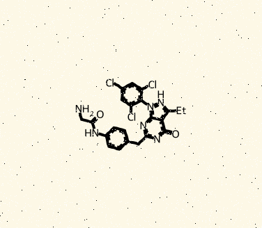 CCc1[nH]n(-c2c(Cl)cc(Cl)cc2Cl)c2nc(Cc3ccc(NC(=O)CN)cc3)nc(=O)c1-2